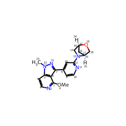 COc1nccc2c1c(-c1ccnc(N3C[C@@H]4C[C@H]3CO4)c1)nn2C